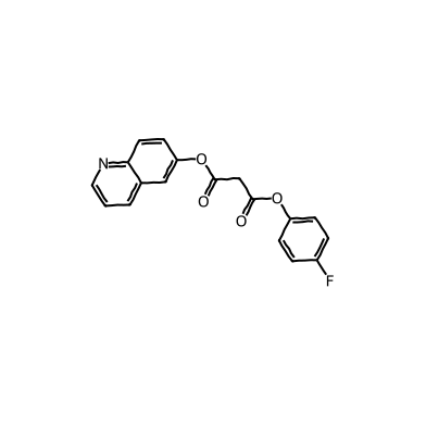 O=C(CC(=O)Oc1ccc2ncccc2c1)Oc1ccc(F)cc1